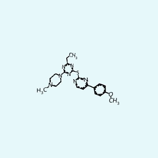 CCc1nc(Sc2nccc(-c3ccc(OC)cc3)n2)nc(N2CCN(C)CC2)n1